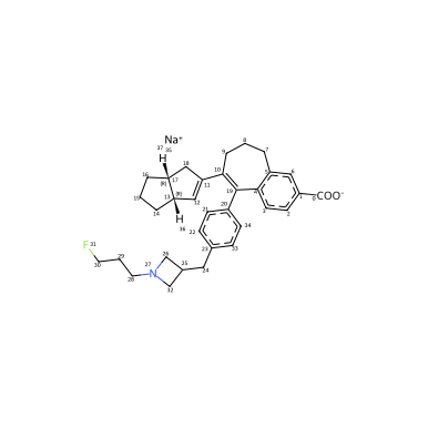 O=C([O-])c1ccc2c(c1)CCCC(C1=C[C@@H]3CCC[C@@H]3C1)=C2c1ccc(CC2CN(CCCF)C2)cc1.[Na+]